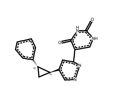 O=c1[nH]cc(-c2cc([C@H]3C[C@@H]3c3ccccc3)cnn2)c(=O)[nH]1